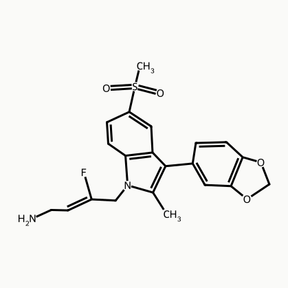 Cc1c(-c2ccc3c(c2)OCO3)c2cc(S(C)(=O)=O)ccc2n1C/C(F)=C/CN